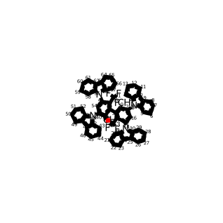 Cc1c(-n2c3ccccc3c3ccccc32)cc(-n2c3ccccc3c3ccccc32)c(C(F)(F)F)c1-c1c(C)c(-n2c3ccccc3c3ccccc32)cc(-n2c3ccccc3c3ccccc32)c1C(F)(F)F